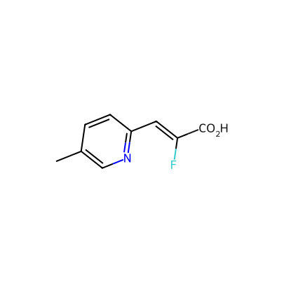 Cc1ccc(C=C(F)C(=O)O)nc1